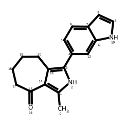 Cc1[nH]c(-c2ccc3cc[nH]c3c2)c2c1C(=O)CCCC2